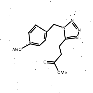 COC(=O)CCc1nnnn1Cc1ccc(OC)cc1